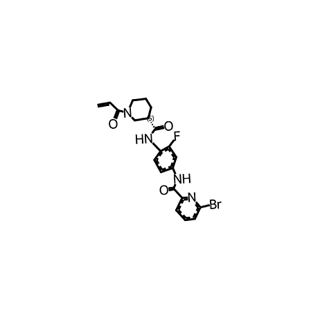 C=CC(=O)N1CCC[C@H](C(=O)Nc2ccc(NC(=O)c3cccc(Br)n3)cc2F)C1